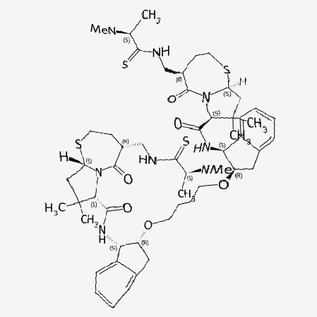 CN[C@@H](C)C(=S)NC[C@H]1CCS[C@H]2CC(C)(C)[C@@H](C(=O)N[C@H]3c4ccccc4C[C@H]3OCCCCO[C@@H]3Cc4ccccc4[C@@H]3NC(=O)[C@H]3N4C(=O)[C@@H](CNC(=S)[C@H](C)NC)CCS[C@H]4CC3(C)C)N2C1=O